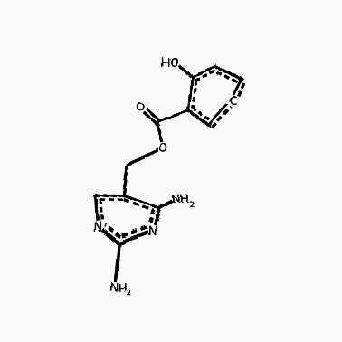 Nc1ncc(COC(=O)c2ccccc2O)c(N)n1